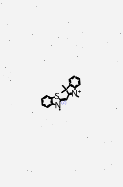 CN1/C(=C/C2=[N+](C)c3ccccc3C2(C)C)Sc2ccccc21